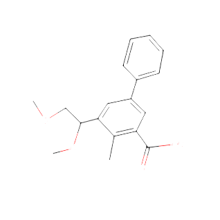 COCC(OC)c1cc(-c2ccccc2)cc(C(=O)O)c1C